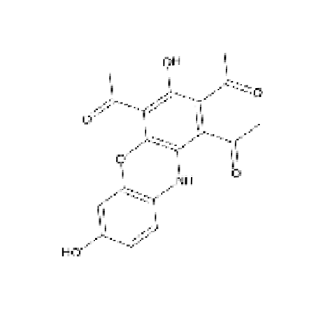 CC(=O)c1c(O)c(C(C)=O)c(C(C)=O)c2c1Oc1cc(O)ccc1N2